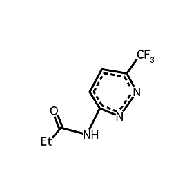 CCC(=O)Nc1ccc(C(F)(F)F)nn1